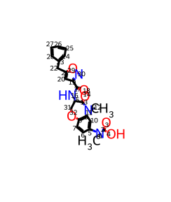 CN(C(=O)O)c1ccc2c(c1)N(C)C(=O)C(NC(=O)c1cc(Cc3ccccc3)on1)CO2